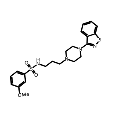 COc1cccc(S(=O)(=O)NCCCN2CCN(c3nsc4ccccc34)CC2)c1